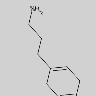 NCCCC1=CCC=CC1